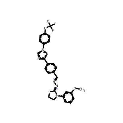 COc1cccc(N2CCS/C2=N\N=C\c2ccc(-c3ncn(-c4ccc(OC(F)(F)F)cc4)n3)cc2)c1